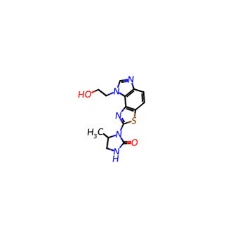 CC1CNC(=O)N1c1nc2c(ccc3ncn(CCO)c32)s1